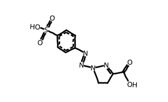 O=C(O)C1=NN(N=Nc2ccc(S(=O)(=O)O)cc2)CC1